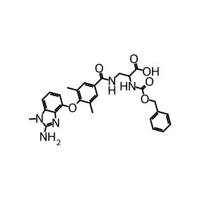 Cc1cc(C(=O)NCC(NC(=O)OCc2ccccc2)C(=O)O)cc(C)c1Oc1cccc2c1nc(N)n2C